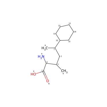 CC(CC(C)C(N)C(=O)O)C1CCCCC1